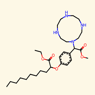 CCCCCCCCCC(Oc1ccc(C(C(=O)OC)N2CCNCCNCCNCC2)cc1)C(=O)OCC